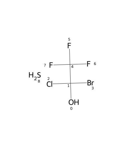 OC(Cl)(Br)C(F)(F)F.S